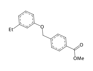 CCc1cccc(OCc2ccc(C(=O)OC)cc2)c1